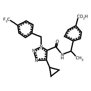 CC(NC(=O)c1c(C2CC2)nnn1Cc1ccc(C(F)(F)F)cc1)c1ccc(C(=O)O)cc1